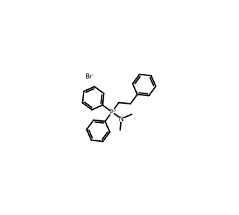 CN(C)[P+](CCc1ccccc1)(c1ccccc1)c1ccccc1.[Br-]